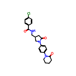 O=C(NCC1CC(=O)N(c2ccc(N3CCCCC3=O)cc2)C1)c1ccc(Cl)cc1